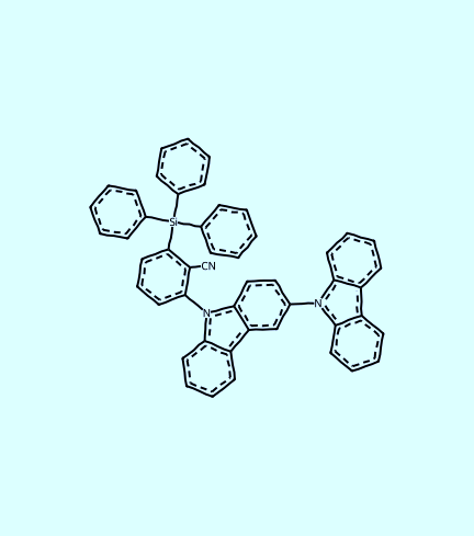 N#Cc1c(-n2c3ccccc3c3cc(-n4c5ccccc5c5ccccc54)ccc32)cccc1[Si](c1ccccc1)(c1ccccc1)c1ccccc1